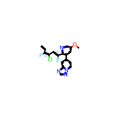 C=C/C(F)=C(Cl)\C=C(/F)c1ncc(OC)cc1-c1ccn2ncnc2c1